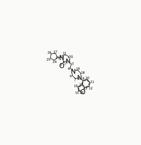 O=C1N(CCN2CCN(c3cccc4occc34)CC2)CCN1C1CCCC1